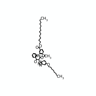 CCCCCCCCCCCCCCOC(=O)c1ccc(OC)c(NC(=O)C(C(=O)c2ccccc2)n2nnc3cc(OCCCCCCCC)ccc32)c1